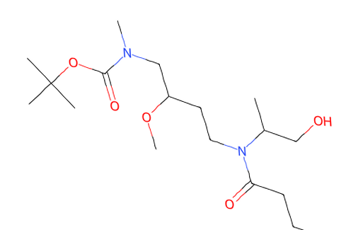 CCCC(=O)N(CCC(CN(C)C(=O)OC(C)(C)C)OC)C(C)CO